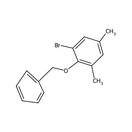 Cc1cc(C)c(OCc2ccccc2)c(Br)c1